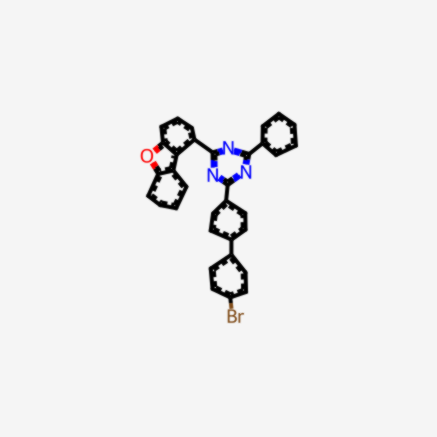 Brc1ccc(-c2ccc(-c3nc(-c4ccccc4)nc(-c4cccc5oc6ccccc6c45)n3)cc2)cc1